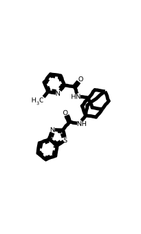 Cc1cccc(C(=O)NC23CC4CC(C2)CC(NC(=O)c2nc5ccccc5s2)(C4)C3)n1